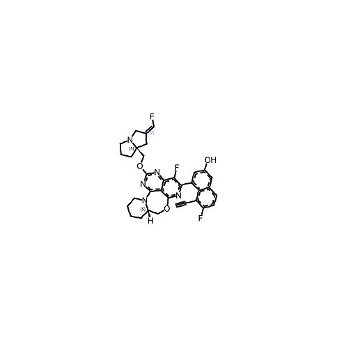 C#Cc1c(F)ccc2cc(O)cc(-c3nc4c5c(nc(OC[C@@]67CCCN6C/C(=C\F)C7)nc5c3F)N3CCCC[C@H]3CO4)c12